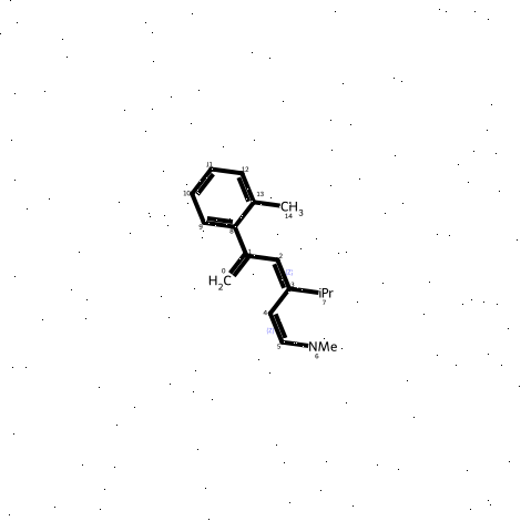 C=C(/C=C(\C=C/NC)C(C)C)c1ccccc1C